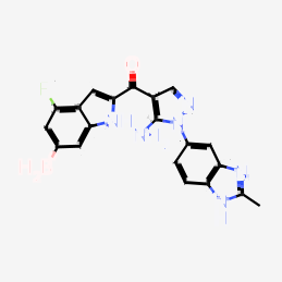 Bc1cc(F)c2cc(C(=O)c3cnn(-c4ccc5[nH]c(C)nc5c4)c3N)[nH]c2c1